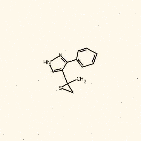 CC1(c2c[nH]nc2-c2ccccc2)CS1